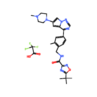 Cc1cc(-c2ncnn3cc(N4CCN(C)CC4)cc23)ccc1CNC(=O)c1noc(C(C)(C)C)n1.O=C(O)C(F)(F)F